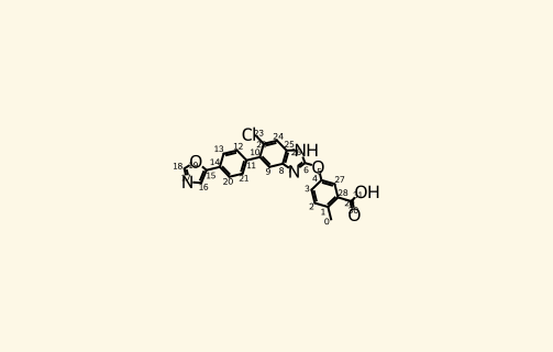 Cc1ccc(Oc2nc3cc(-c4ccc(-c5cnco5)cc4)c(Cl)cc3[nH]2)cc1C(=O)O